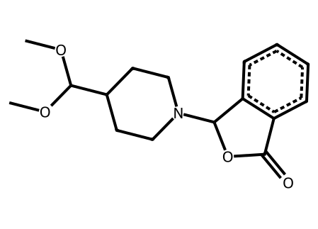 COC(OC)C1CCN(C2OC(=O)c3ccccc32)CC1